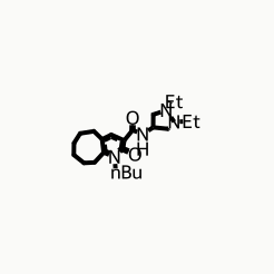 CCCCn1c2c(cc(C(=O)NC3CN(CC)N(CC)C3)c1=O)CCCCCC2